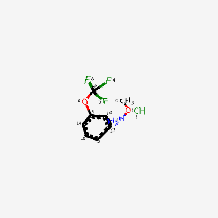 CON.Cl.FC(F)(F)Oc1ccccc1